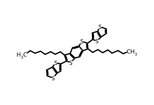 CCCCCCCCc1c(-c2cc3sccc3s2)sc2cc3c(CCCCCCCC)c(-c4cc5sccc5s4)sc3cc12